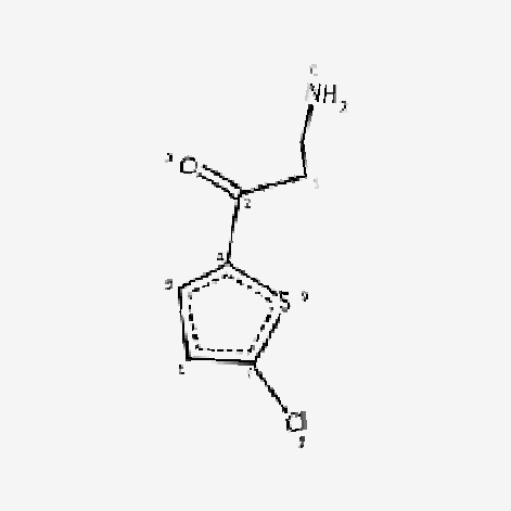 NCC(=O)c1ccc(Cl)s1